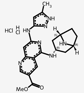 COC(=O)c1cnc2cc(Nc3cc(C)[nH]n3)nc(N[C@H]3C[C@H]4CC[C@@H](C3)N4)c2c1.Cl.Cl